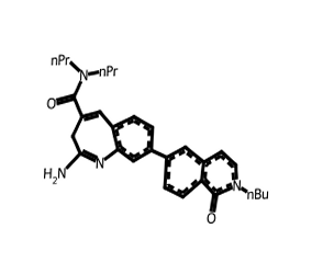 CCCCn1ccc2cc(-c3ccc4c(c3)N=C(N)CC(C(=O)N(CCC)CCC)=C4)ccc2c1=O